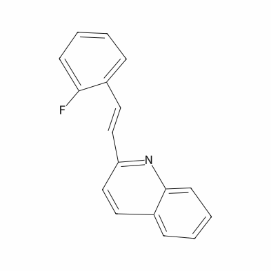 Fc1ccccc1C=Cc1ccc2ccccc2n1